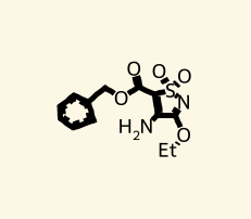 CCOC1=NS(=O)(=O)C(C(=O)OCc2ccccc2)=C1N